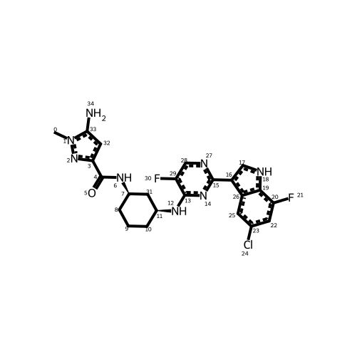 Cn1nc(C(=O)N[C@@H]2CCC[C@H](Nc3nc(-c4c[nH]c5c(F)cc(Cl)cc45)ncc3F)C2)cc1N